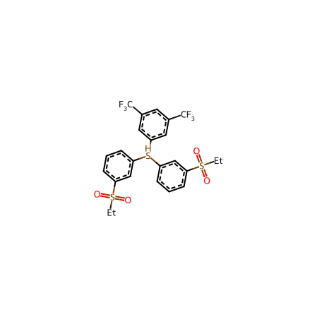 CCS(=O)(=O)c1cccc([SH](c2cc(C(F)(F)F)cc(C(F)(F)F)c2)c2cccc(S(=O)(=O)CC)c2)c1